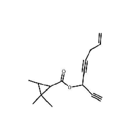 C#CC(C#CCC=C)OC(=O)C1C(C)C1(C)C